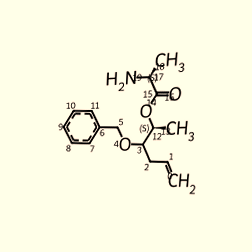 C=CCC(OCc1ccccc1)[C@H](C)OC(=O)[C@H](C)N